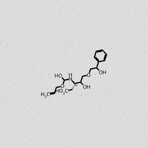 C=CCOC(O)N[C@@H](CC(=O)O)C(O)COCC(O)c1ccccc1